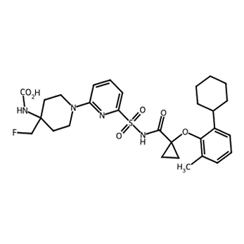 Cc1cccc(C2CCCCC2)c1OC1(C(=O)NS(=O)(=O)c2cccc(N3CCC(CF)(NC(=O)O)CC3)n2)CC1